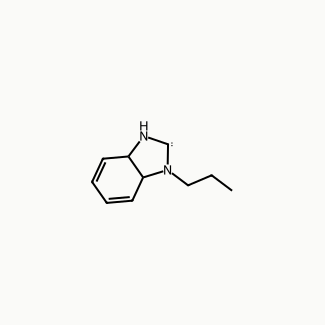 CCCN1[C]NC2C=CC=CC21